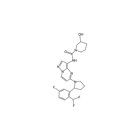 O=C(Nc1cnn2ccc(N3CCCC3c3cc(F)ccc3C(F)F)nc12)N1CCCC(O)C1